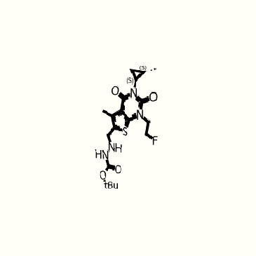 Cc1c(CNNC(=O)OC(C)(C)C)sc2c1c(=O)n([C@H]1C[C@@H]1C)c(=O)n2CCF